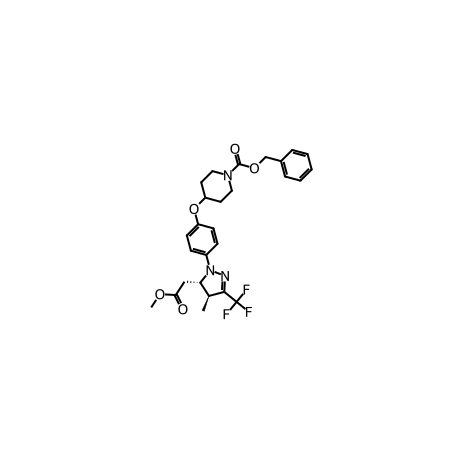 COC(=O)C[C@H]1[C@H](C)C(C(F)(F)F)=NN1c1ccc(OC2CCN(C(=O)OCc3ccccc3)CC2)cc1